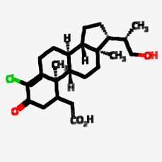 C[C@H](CO)[C@H]1CC[C@H]2[C@@H]3CCC4=C(Cl)C(=O)CC(CC(=O)O)[C@]4(C)[C@H]3CC[C@]12C